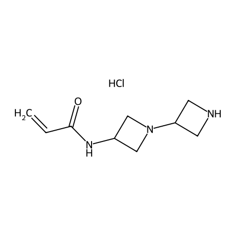 C=CC(=O)NC1CN(C2CNC2)C1.Cl